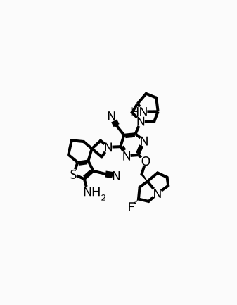 N#Cc1c(N2CC3CCC(C2)N3)nc(OC[C@@]23CCCN2C[C@H](F)C3)nc1N1CC2(CCCc3sc(N)c(C#N)c32)C1